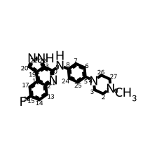 CN1CCN(c2ccc(Nc3nc4ccc(F)cc4c4cn[nH]c34)cc2)CC1